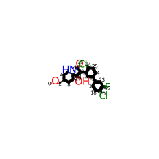 COC[C@H]1CC[C@@]2(CC1)NC(=O)C(c1cc(-c3ccc(Cl)c(F)c3)ccc1Cl)=C2O